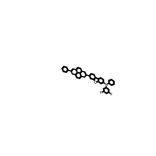 Fc1cc(F)cc(N(c2ccccc2)c2ccc3c(c2)oc2cc(C4=Cc5ccc6c7c(ccc(c57)C4)CC(c4ccccc4)=C6)ccc23)c1